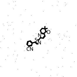 CC1(C)CCc2nc(-c3ncc(-c4cccc(C#N)c4)s3)ccc2C1=O